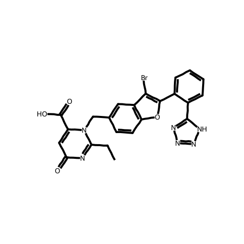 CCc1nc(=O)cc(C(=O)O)n1Cc1ccc2oc(-c3ccccc3-c3nnn[nH]3)c(Br)c2c1